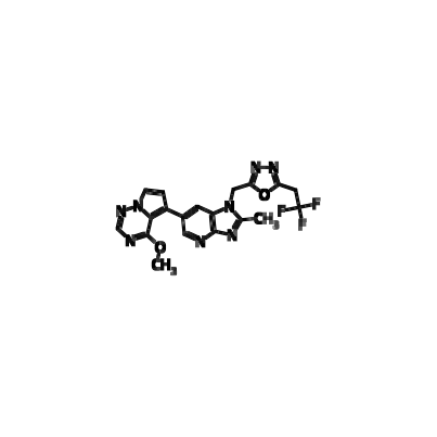 COc1ncnn2ccc(-c3cnc4nc(C)n(Cc5nnc(CC(F)(F)F)o5)c4c3)c12